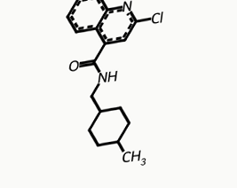 CC1CCC(CNC(=O)c2cc(Cl)nc3ccccc23)CC1